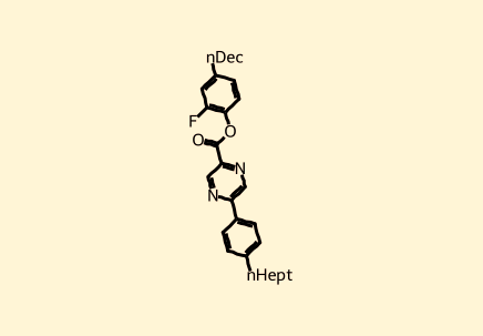 CCCCCCCCCCc1ccc(OC(=O)c2cnc(-c3ccc(CCCCCCC)cc3)cn2)c(F)c1